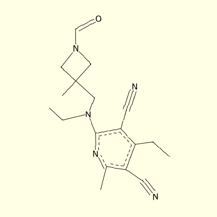 CCc1c(C#N)c(C)nc(N(CC)CC2(C)CN(C=O)C2)c1C#N